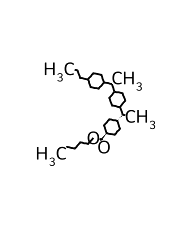 CCCCCOC(=O)[C@H]1CC[C@H](C(C)C2CCC(C(C)C3CCC(CCC)CC3)CC2)CC1